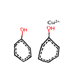 Oc1ccccc1.Oc1ccccc1.[Cu+2]